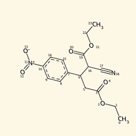 CCOC(=O)CC(c1ccc([N+](=O)[O-])cc1)C(C#N)C(=O)OCC